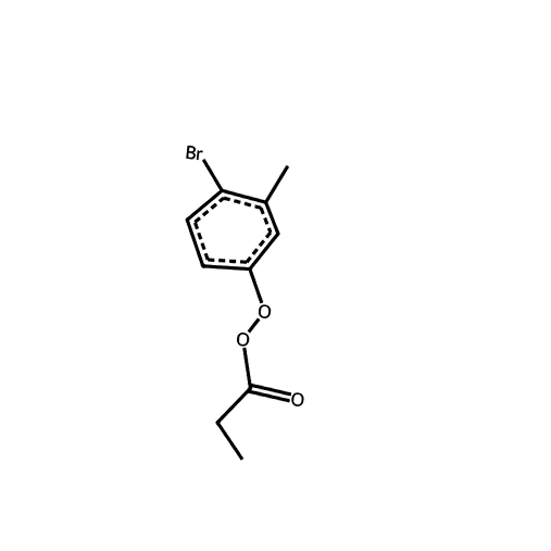 CCC(=O)OOc1ccc(Br)c(C)c1